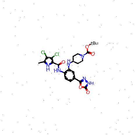 Cc1[nH]c(C(=O)Nc2ccc(-c3n[nH]c(=O)o3)cc2NC2CCN(C(=O)OC(C)(C)C)CC2)c(Cl)c1Cl